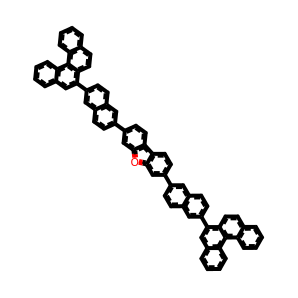 c1ccc2c(c1)ccc1c(-c3ccc4cc(-c5ccc6c(c5)oc5cc(-c7ccc8cc(-c9cc%10ccccc%10c%10c9ccc9ccccc9%10)ccc8c7)ccc56)ccc4c3)cc3ccccc3c12